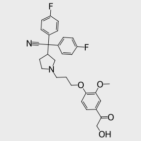 COc1cc(C(=O)CO)ccc1OCCCN1CCC(C(C#N)(c2ccc(F)cc2)c2ccc(F)cc2)C1